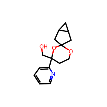 OCC1(c2ccccn2)CCOC2(CC3CC3C2)O1